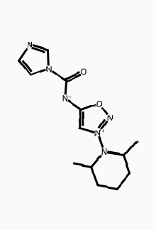 CC1CCCC(C)N1[n+]1cc([N-]C(=O)n2ccnc2)on1